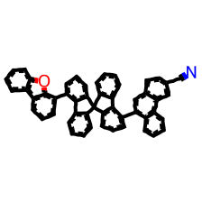 N#Cc1ccc2cc(-c3cccc4c3-c3ccccc3C43c4ccccc4-c4c(-c5cccc6c5oc5ccccc56)cccc43)c3ccccc3c2c1